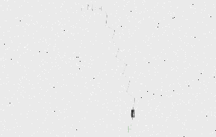 CCCCCCCCCCCCCCCCCCCCC#CF